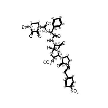 CCN1CCN(C(=O)NC(C(=O)N[C@@H]2C(=O)N3C(N4CCN(N=Cc5ccc([N+](=O)[O-])cc5)C4=O)[C@H](C(=O)O)S[C@H]23)c2ccccc2)C(=O)C1=O